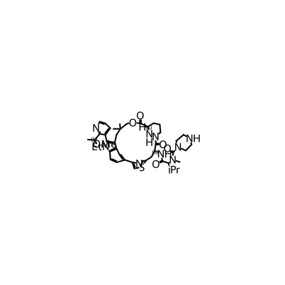 CCn1c(-c2cccnc2[C@H](C)OC)c2c3cc(ccc31)-c1csc(n1)C[C@H](NC(=O)C(C(C)C)N(C)C(=O)N1CCNCC1)C(=O)N1CCC[C@H](N1)C(=O)OCC(C)(C)C2